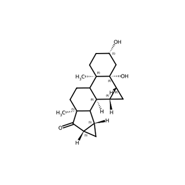 C[C@]12CCC3[C@H](C1[C@@H]1C[C@@H]1C2=O)[C@H]1C[C@H]1[C@]1(O)C[C@@H](O)CC[C@]31C